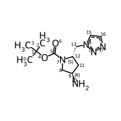 CC(C)(C)OC(=O)N1C[C@H](N)C[C@H]1Cn1ccnn1